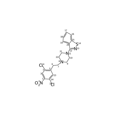 O=[N+]([O-])c1cc(Cl)c(CCN2CCN(c3nsc4ccccc34)CC2)cc1Cl